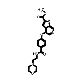 COC(=O)c1cc2c(Oc3ccc(C(=O)NCCN4CCOCC4)cc3)cncc2s1